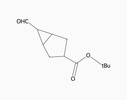 CC(C)(C)OC(=O)C1CC2C(C=O)C2C1